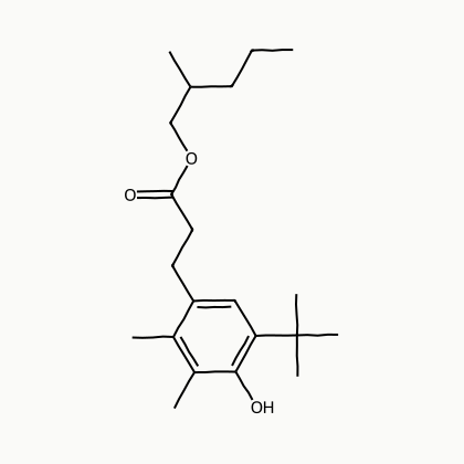 CCCC(C)COC(=O)CCc1cc(C(C)(C)C)c(O)c(C)c1C